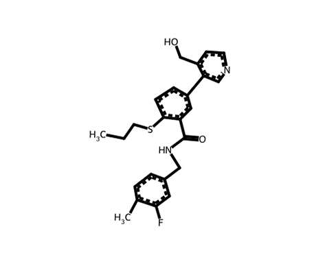 CCCSc1ccc(-c2cnccc2CO)cc1C(=O)NCc1ccc(C)c(F)c1